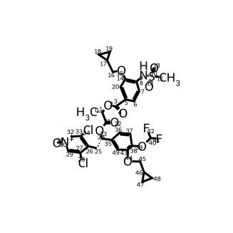 C[C@H](OC(=O)c1ccc(NS(C)(=O)=O)c(OCC2CC2)c1)C(=O)O[C@@H](Cc1c(Cl)c[n+]([O-])cc1Cl)c1ccc(OC(F)F)c(OCC2CC2)c1